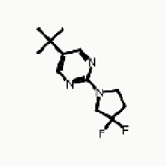 CC(C)(C)c1cnc(N2CCC(F)(F)C2)nc1